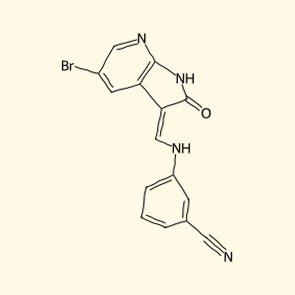 N#Cc1cccc(NC=C2C(=O)Nc3ncc(Br)cc32)c1